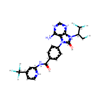 Nc1ncnc2c1n(-c1ccc(C(=O)Nc3cc(C(F)(F)F)ccn3)cc1)c(=O)n2C(CF)C(F)F